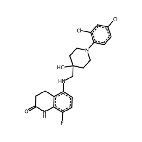 O=C1CCc2c(NCC3(O)CCN(c4ccc(Cl)cc4Cl)CC3)ccc(F)c2N1